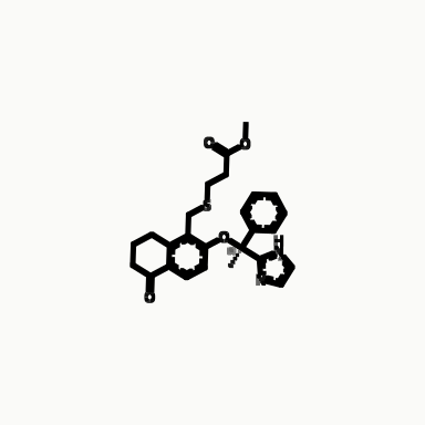 COC(=O)CCSCc1c(O[C@@](C)(c2ccccc2)c2ncc[nH]2)ccc2c1CCCC2=O